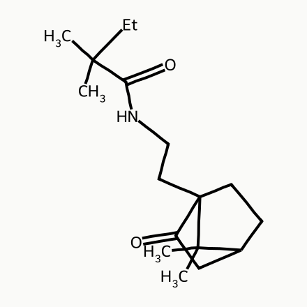 CCC(C)(C)C(=O)NCCC12CCC(CC1=O)C2(C)C